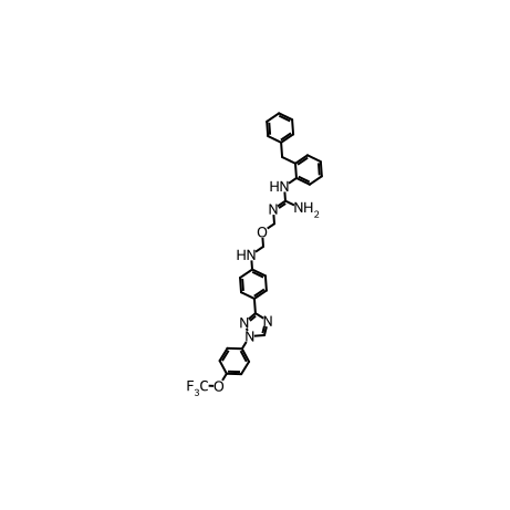 N/C(=N\COCNc1ccc(-c2ncn(-c3ccc(OC(F)(F)F)cc3)n2)cc1)Nc1ccccc1Cc1ccccc1